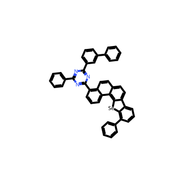 c1ccc(-c2cccc(-c3nc(-c4ccccc4)nc(-c4cccc5c4ccc4ccc6c7cccc(-c8ccccc8)c7[se]c6c45)n3)c2)cc1